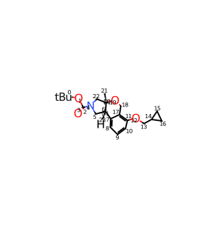 CC(C)(C)OC(=O)N1C[C@H]2c3cccc(OCC4CC4)c3CO[C@@]2(C)C1